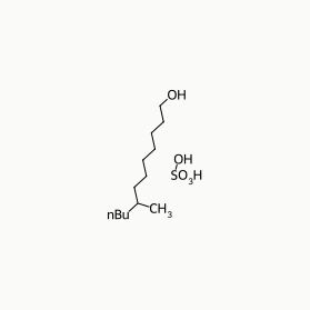 CCCCC(C)CCCCCCCO.O=S(=O)(O)O